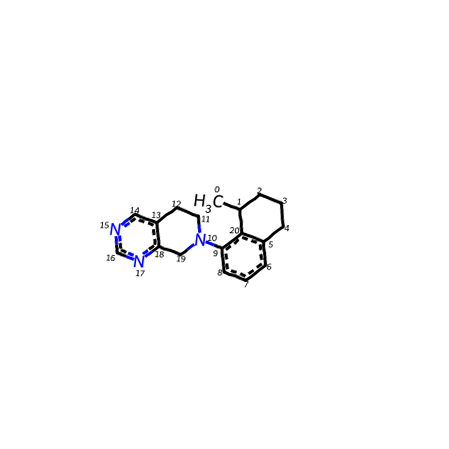 CC1CCCc2cccc(N3CCc4cncnc4C3)c21